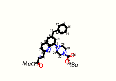 COC(=O)/C=C/c1ccc2cc(Cc3ccccc3)cc(N3CCN(C(=O)OC(C)(C)C)CC3)c2n1